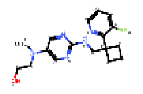 O=CN(CCO)c1cnc(NCC2(c3ncccc3F)CCC2)nc1